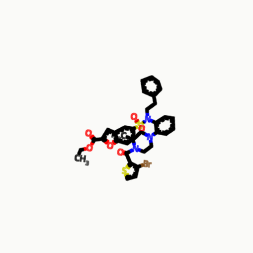 CCOC(=O)c1cc2cc(S(=O)(=O)N(CCc3ccccc3)c3ccccc3N3CCN(C(=O)c4sccc4Br)C(C)C3)ccc2o1